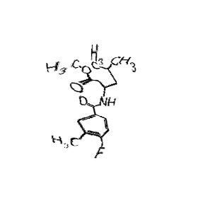 COC(=O)C(CC(C)C)NC(=O)c1ccc(F)c(C)c1